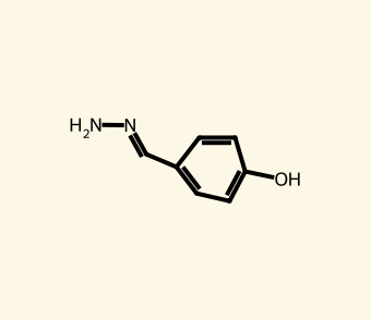 NN=Cc1ccc(O)cc1